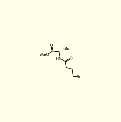 COC(=O)[C@@H](NC(=O)CCCBr)C(C)(C)C